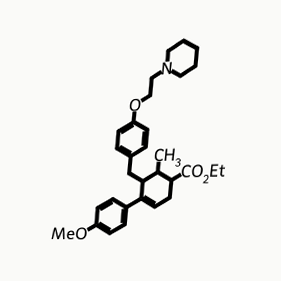 CCOC(=O)C1CC=C(c2ccc(OC)cc2)C(Cc2ccc(OCCN3CCCCC3)cc2)C1C